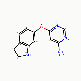 Nc1cc(Oc2ccc3c(c2)NCC3)ncn1